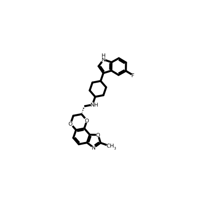 Cc1nc2ccc3c(c2o1)O[C@@H](CNC1CCC(c2c[nH]c4ccc(F)cc24)CC1)CO3